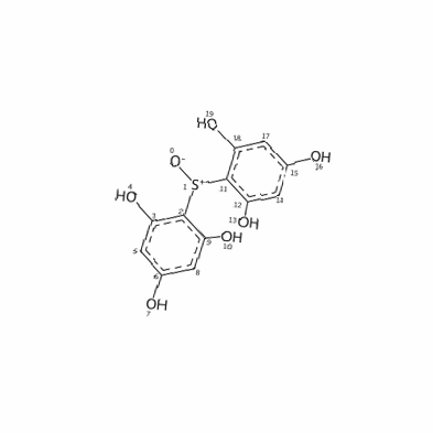 [O-][S+](c1c(O)cc(O)cc1O)c1c(O)cc(O)cc1O